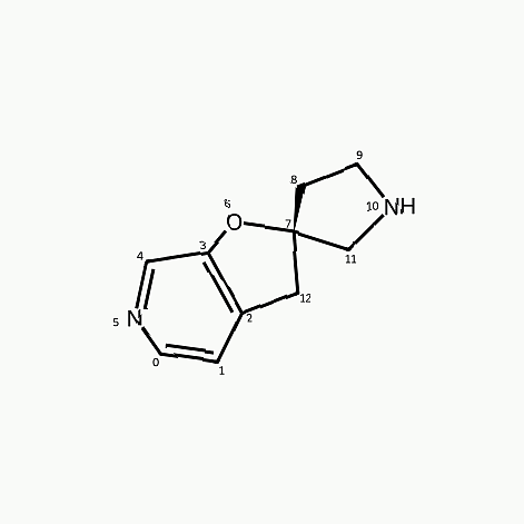 c1cc2c(cn1)O[C@@]1(CCNC1)C2